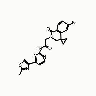 Cc1nc(-c2ccnc(NC(=O)CN3CC4(CC4)c4cc(Br)ccc4C3=O)n2)cs1